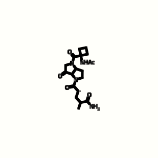 CC(=O)NC1(C(=O)N2CC(=O)C3C2CCN3C(=O)[CH]CC(C)C(N)=O)CCC1